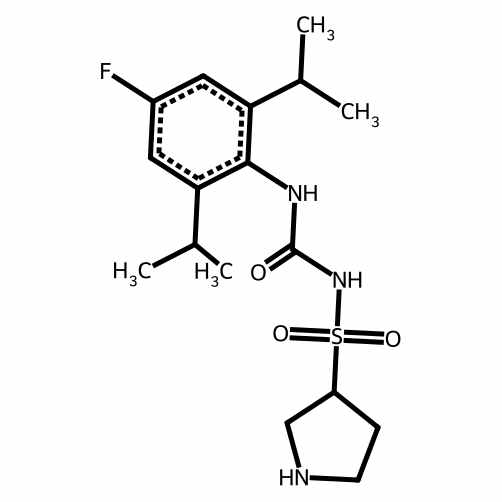 CC(C)c1cc(F)cc(C(C)C)c1NC(=O)NS(=O)(=O)C1CCNC1